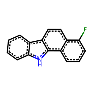 Fc1cccc2c1ccc1c3ccccc3[nH]c21